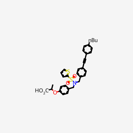 CCCCc1ccc(C#Cc2ccc(CN(Cc3ccc(OC(C)C(=O)O)cc3)S(=O)(=O)c3cccs3)cc2)cc1